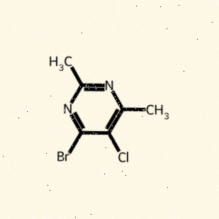 Cc1nc(C)c(Cl)c(Br)n1